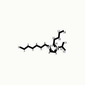 CCCCCCC[n+]1ccn(C(C)C)c1CCCC